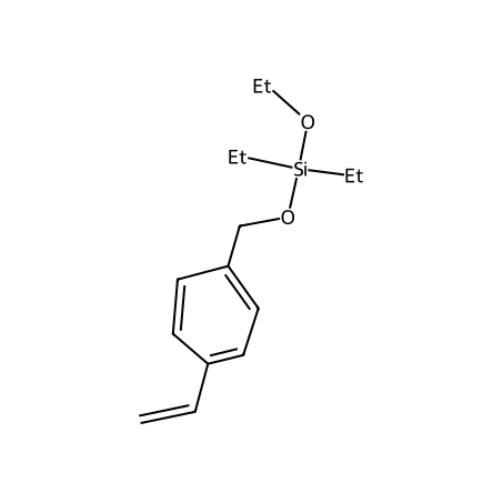 C=Cc1ccc(CO[Si](CC)(CC)OCC)cc1